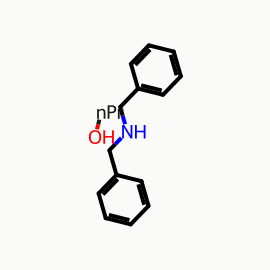 CCCO.c1ccc(CNCc2ccccc2)cc1